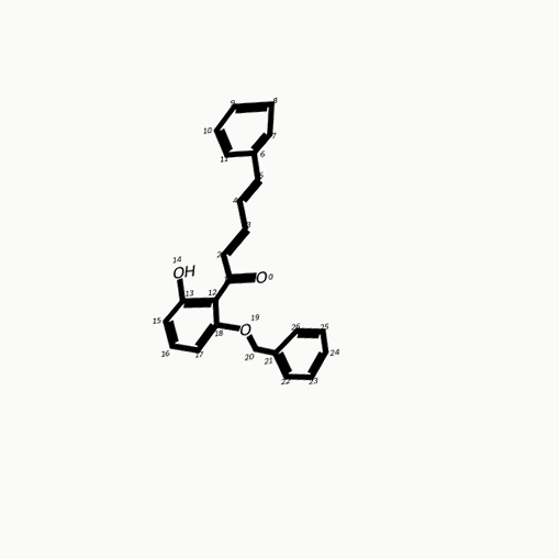 O=C(C=CC=Cc1ccccc1)c1c(O)cccc1OCc1ccccc1